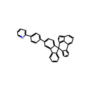 c1ccc(-c2ccc(-c3ccc4c(c3)-c3ccccc3C43c4ccccc4-c4cccc5cccc3c45)cc2)nc1